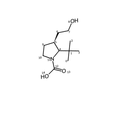 CC(C)(C)C1[C@H](CCO)CCN1C(=O)O